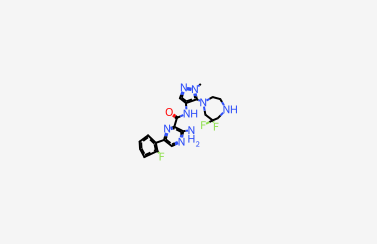 Cn1ncc(NC(=O)c2nc(-c3ccccc3F)cnc2N)c1N1CCNCC(F)(F)C1